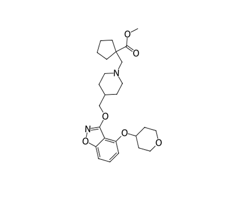 COC(=O)C1(CN2CCC(COc3noc4cccc(OC5CCOCC5)c34)CC2)CCCC1